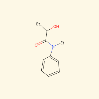 CCC(O)C(=O)N(CC)c1ccccc1